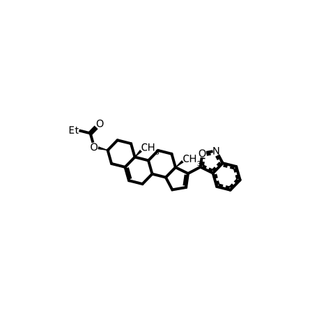 CCC(=O)O[C@H]1CC[C@@]2(C)C(=CCC3C2CC[C@]2(C)C(c4onc5ccccc45)=CCC32)C1